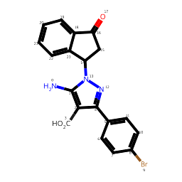 Nc1c(C(=O)O)c(-c2ccc(Br)cc2)nn1C1CC(=O)c2ccccc21